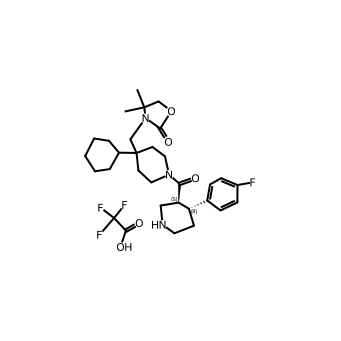 CC1(C)COC(=O)N1CC1(C2CCCCC2)CCN(C(=O)[C@@H]2CNCC[C@H]2c2ccc(F)cc2)CC1.O=C(O)C(F)(F)F